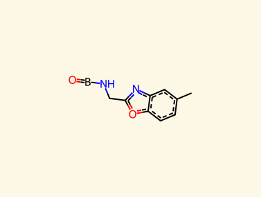 Cc1ccc2oc(CNB=O)nc2c1